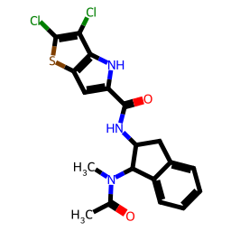 CC(=O)N(C)C1c2ccccc2CC1NC(=O)c1cc2sc(Cl)c(Cl)c2[nH]1